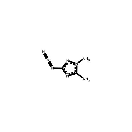 Cn1nc(N=[N+]=[N-])nc1N